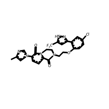 Cc1cn(-c2ccc3n(c2=O)CCN(CCOc2ccc(Cl)cc2-c2cc(C(F)(F)F)[nH]n2)C3=O)cn1